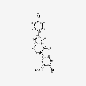 COc1cc(N2CCc3nc(-c4ccc(Cl)cc4)sc3C2=O)ccc1Br